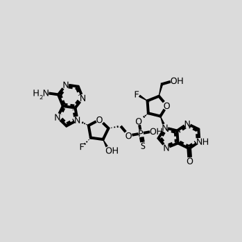 Nc1ncnc2c1ncn2[C@@H]1O[C@H](COP(O)(=S)O[C@@H]2[C@@H](F)[C@@H](CO)O[C@H]2n2cnc3c(=O)[nH]cnc32)[C@@H](O)[C@@H]1F